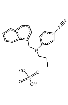 CCCN(Cc1cccc2ccccc12)c1ccc([N+]#N)cc1.O=S(=O)(O)O